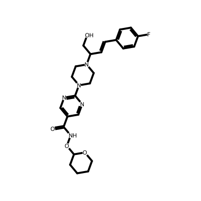 O=C(NOC1CCCCO1)c1cnc(N2CCN(C(/C=C/c3ccc(F)cc3)CO)CC2)nc1